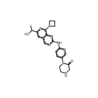 CC(O)c1cc2cnc(Nc3ccc(N4CCNCC4=O)cn3)nc2c(N2CCC2)n1